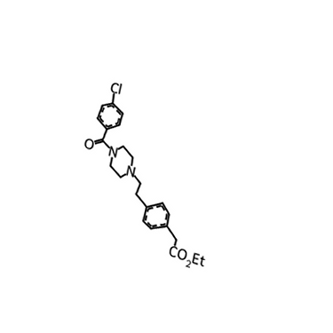 CCOC(=O)Cc1ccc(CCN2CCN(C(=O)c3ccc(Cl)cc3)CC2)cc1